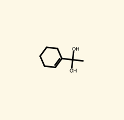 CC(O)(O)C1=CCCCC1